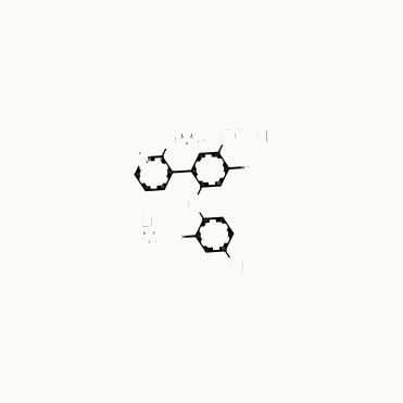 COc1cc(Cl)ccc1Oc1cc(F)c(C(=O)O)cc1-c1cccnc1OC.[Li]